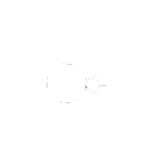 Cc1cc2c([nH]1)CCCCCCCCCC2